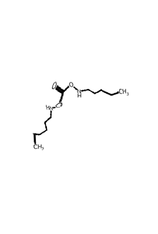 CCCCCNOC(=O)ONCCCCC